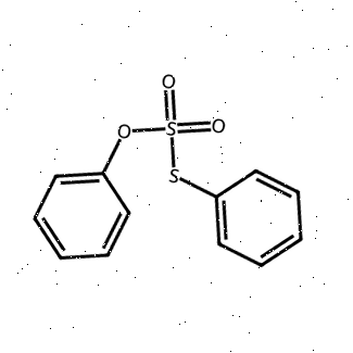 O=S(=O)(Oc1ccccc1)Sc1ccccc1